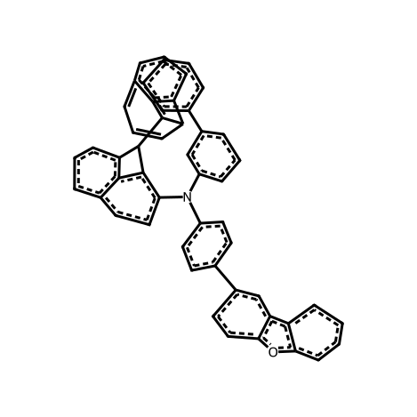 C1=CC2C(C3c4cccc5ccc(N(c6ccc(-c7ccc8oc9ccccc9c8c7)cc6)c6cccc(-c7ccccc7)c6)c3c45)=c3c2cccc3=C1